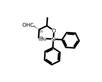 CC(O[Si](c1ccccc1)(c1ccccc1)C(C)(C)C)[C@H](C)C=O